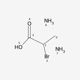 CC(Br)C(=O)O.N.N